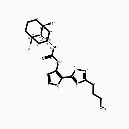 CCCCc1noc(-c2sccc2NC(=O)N[C@H]2C[C@H]3CCC[C@@H](C2)N3C)n1